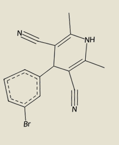 CC1=C(C#N)C(c2cccc(Br)c2)C(C#N)=C(C)N1